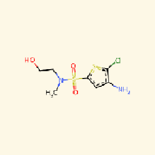 CN(CCO)S(=O)(=O)c1cc(N)c(Cl)s1